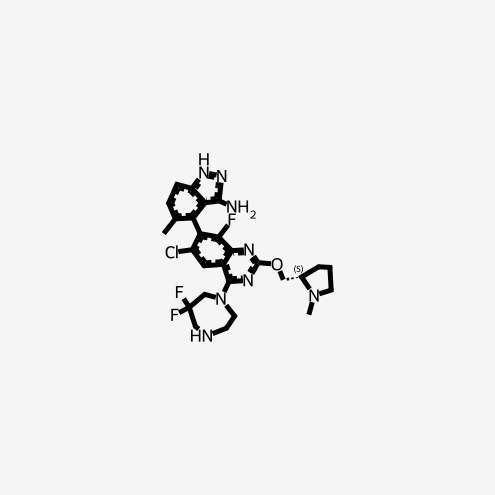 Cc1ccc2[nH]nc(N)c2c1-c1c(Cl)cc2c(N3CCNCC(F)(F)C3)nc(OC[C@@H]3CCCN3C)nc2c1F